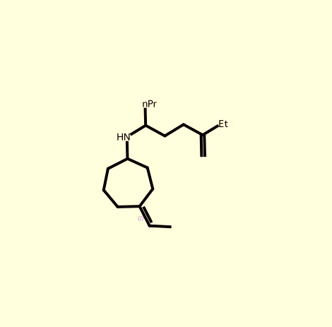 C=C(CC)CCC(CCC)NC1CCC/C(=C/C)CC1